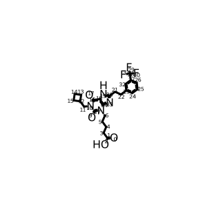 O=C(O)CCCCn1c(=O)n(CC2CCC2)c(=O)c2[nH]c(CCc3cccc(C(F)(F)F)c3)nc21